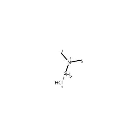 CN(C)P.Cl